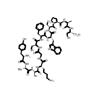 CC[C@H](C)[C@H](NC(=O)[C@@H](NC(=O)[C@@H](N)Cc1ccc(O)cc1)[C@@H](C)CC)C(=O)N[C@@H](CCCCN)C(=O)NCC(=O)N[C@@H](CC(C)C)C(=O)N[C@@H](Cc1ccccc1)C(=O)N[C@@H](Cc1c[nH]c2ccccc12)C(=O)N[C@@H](CC(=O)O)C(=O)N1CCC[C@H]1C(=O)N[C@@H](C)C(=O)N[C@@H](CS)C(=O)O